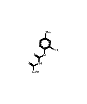 COC(=O)NC(=S)Nc1ccc(OC)cc1[N+](=O)[O-]